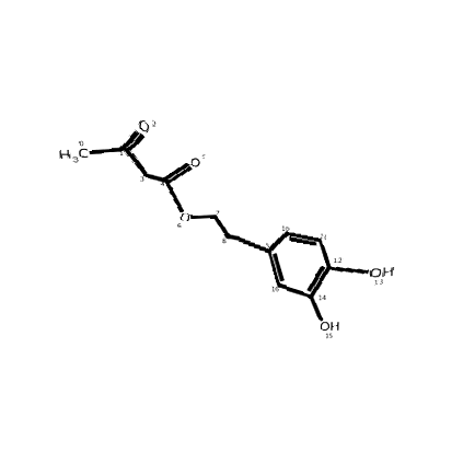 CC(=O)CC(=O)OCCc1ccc(O)c(O)c1